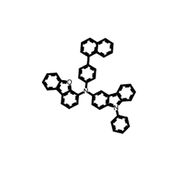 c1ccc(-n2c3ccccc3c3cc(N(c4ccc(-c5cccc6ccccc56)cc4)c4cccc5c4oc4ccccc45)ccc32)cc1